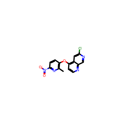 Cc1nc([N+](=O)[O-])ccc1Oc1ccnc2cnc(Cl)cc12